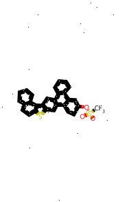 O=S(=O)(Oc1ccc2c(c1)c1ccccc1c1cc3c(cc21)sc1ccc2ccccc2c13)C(F)(F)F